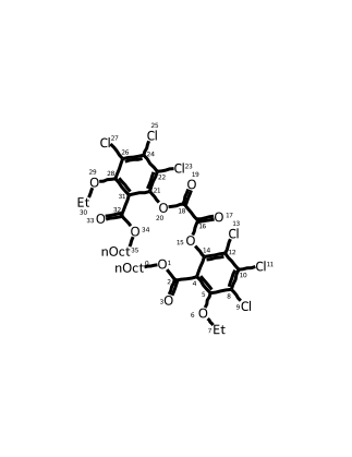 CCCCCCCCOC(=O)c1c(OCC)c(Cl)c(Cl)c(Cl)c1OC(=O)C(=O)Oc1c(Cl)c(Cl)c(Cl)c(OCC)c1C(=O)OCCCCCCCC